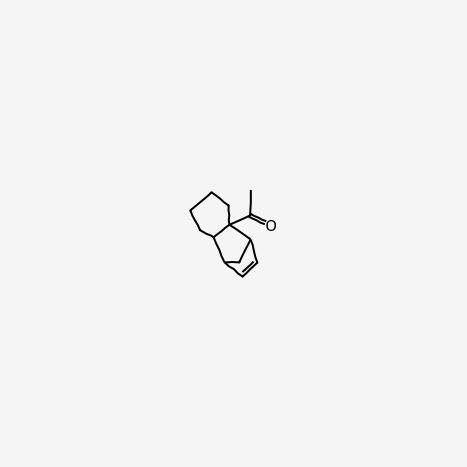 CC(=O)C12CCCCC1C1C=CC2C1